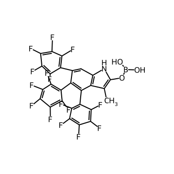 Cc1c(OB(O)O)[nH]c2cc(-c3c(F)c(F)c(F)c(F)c3F)c(-c3c(F)c(F)c(F)c(F)c3F)c(-c3c(F)c(F)c(F)c(F)c3F)c12